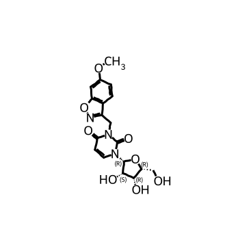 COc1ccc2c(Cn3c(=O)ccn([C@@H]4O[C@H](CO)[C@H](O)[C@@H]4O)c3=O)noc2c1